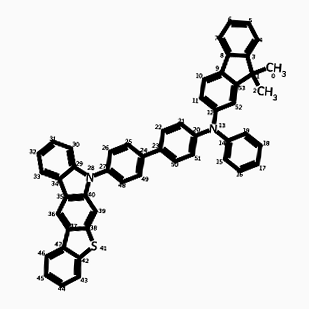 CC1(C)c2ccccc2-c2ccc(N(c3ccccc3)c3ccc(-c4ccc(-n5c6ccccc6c6cc7c(cc65)sc5ccccc57)cc4)cc3)cc21